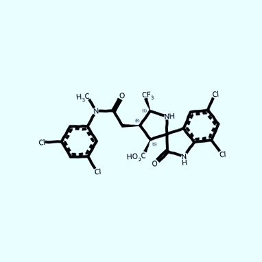 CN(C(=O)C[C@H]1[C@@H](C(F)(F)F)NC2(C(=O)Nc3c(Cl)cc(Cl)cc32)[C@H]1C(=O)O)c1cc(Cl)cc(Cl)c1